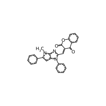 Cn1c(-c2ccccc2)cc2c1nc(/C=C1\C(=O)Oc3ccccc3C1=O)n2-c1ccccc1